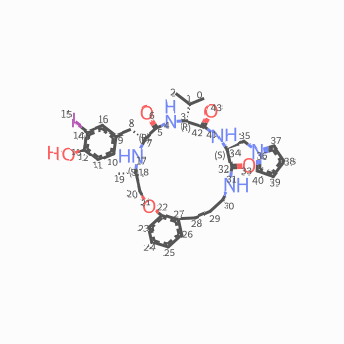 CC(C)[C@H]1NC(=O)[C@@H](Cc2ccc(O)c(I)c2)N[C@@H](C)COc2ccccc2CCCNC(=O)[C@H](Cn2cccc2)NC1=O